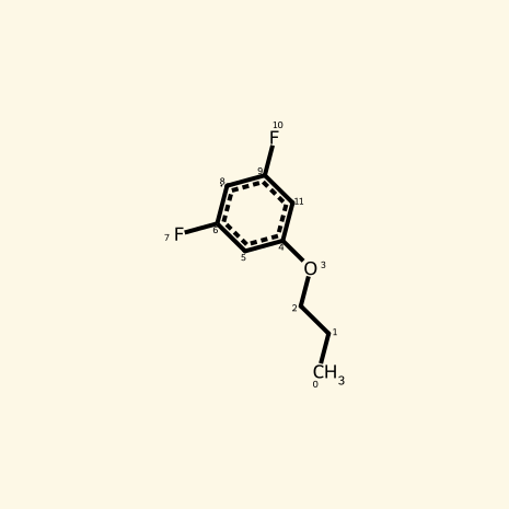 CCCOc1cc(F)[c]c(F)c1